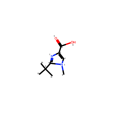 Cn1cc(C(=O)O)nc1C(C)(C)C